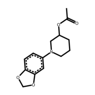 CC(=O)OC1CCCN(c2ccc3c(c2)OCO3)C1